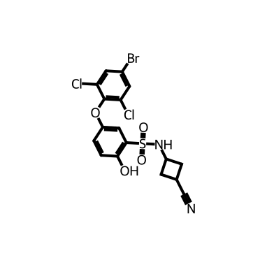 N#CC1CC(NS(=O)(=O)c2cc(Oc3c(Cl)cc(Br)cc3Cl)ccc2O)C1